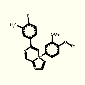 CCOc1ccc([N+]23C=CN=C2C=NC(c2ccc(F)c(C)c2)=C3)cc1OC